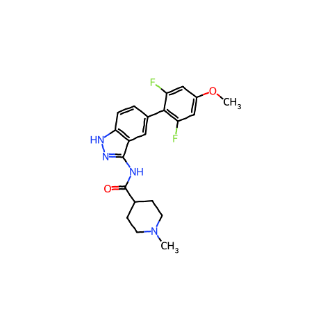 COc1cc(F)c(-c2ccc3[nH]nc(NC(=O)C4CCN(C)CC4)c3c2)c(F)c1